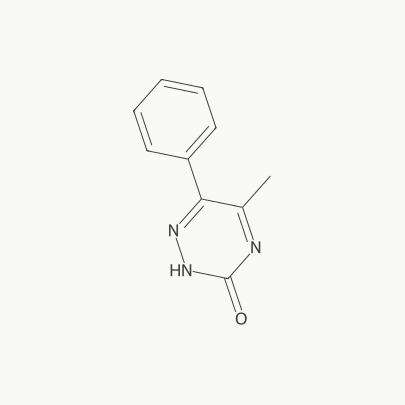 Cc1nc(=O)[nH]nc1-c1ccccc1